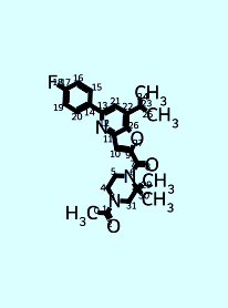 CC(=O)N1CCN(C(=O)c2cc3nc(-c4ccc(F)cc4)cc(C(C)C)c3o2)C(C)(C)C1